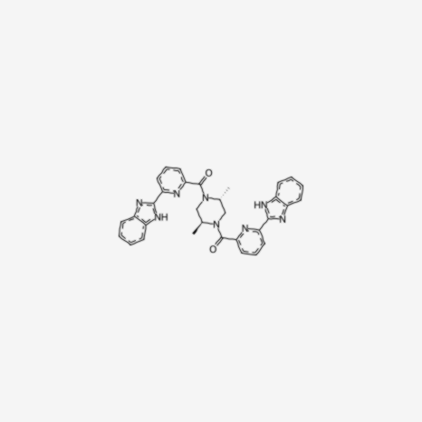 C[C@@H]1CN(C(=O)c2cccc(-c3nc4ccccc4[nH]3)n2)[C@@H](C)CN1C(=O)c1cccc(-c2nc3ccccc3[nH]2)n1